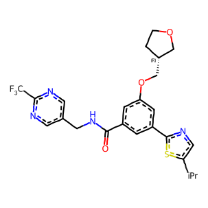 CC(C)c1cnc(-c2cc(OC[C@@H]3CCOC3)cc(C(=O)NCc3cnc(C(F)(F)F)nc3)c2)s1